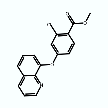 COC(=O)c1ccc(Oc2cccc3cccnc23)cc1Cl